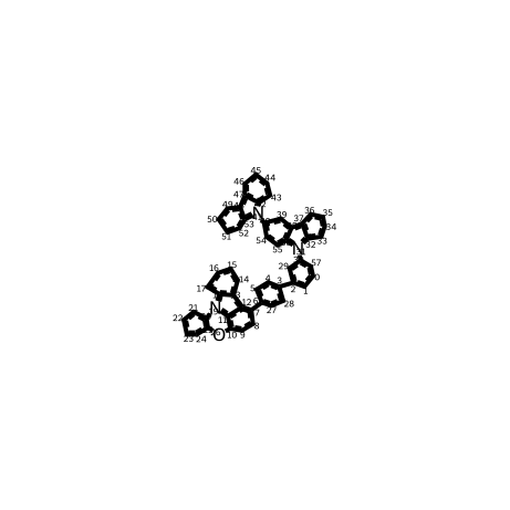 c1cc(-c2ccc(-c3ccc4c5c3c3ccccc3n5-c3ccccc3O4)cc2)cc(-n2c3ccccc3c3cc(-n4c5ccccc5c5ccccc54)ccc32)c1